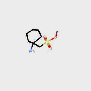 COS(=O)(=O)CC1(N)CCCCC1